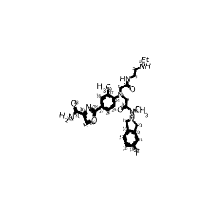 CCNCCNC(=O)CN(CC(=O)N(C)N1Cc2ccc(F)cc2C1)c1ccc(-c2nc(C(N)=O)co2)cc1C